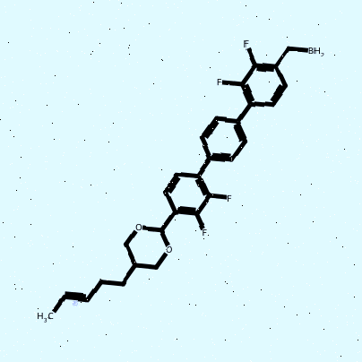 BCc1ccc(-c2ccc(-c3ccc(C4OCC(CC/C=C/C)CO4)c(F)c3F)cc2)c(F)c1F